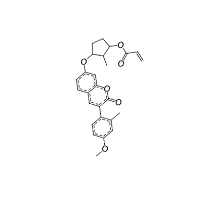 C=CC(=O)OC1CCC(Oc2ccc3cc(-c4ccc(OC)cc4C)c(=O)oc3c2)C1C